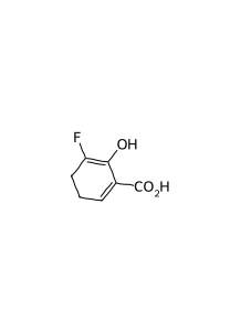 O=C(O)C1=CCCC(F)=C1O